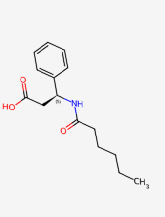 CCCCCC(=O)N[C@@H](CC(=O)O)c1ccccc1